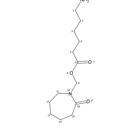 NCCCCCC(=O)OCN1CCCCCC1=O